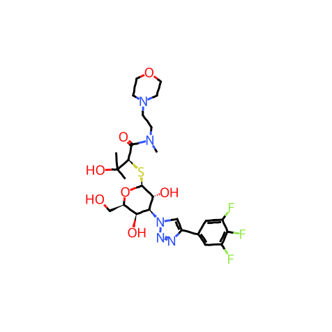 CN(CCN1CCOCC1)C(=O)[C@@H](S[C@@H]1O[C@H](CO)[C@H](O)[C@H](n2cc(-c3cc(F)c(F)c(F)c3)nn2)[C@H]1O)C(C)(C)O